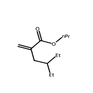 C=C(CC(CC)CC)C(=O)OCCC